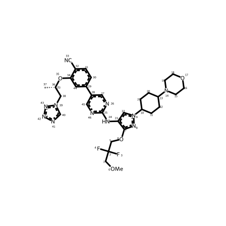 COCC(F)(F)COc1nn(C2CCC(N3CCOCC3)CC2)cc1Nc1ncc(-c2ccc(C#N)c(O[C@@H](C)Cn3cnnn3)c2)cn1